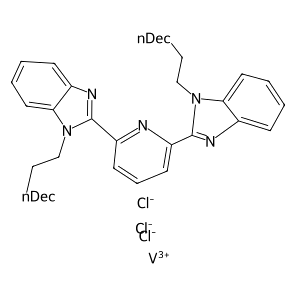 CCCCCCCCCCCCn1c(-c2cccc(-c3nc4ccccc4n3CCCCCCCCCCCC)n2)nc2ccccc21.[Cl-].[Cl-].[Cl-].[V+3]